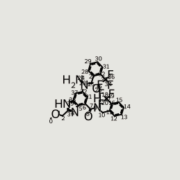 COCc1nc2c(C(=O)NCc3ccccc3C(F)(F)F)cc(N(N)C(=O)c3ccccc3C(F)(F)F)cc2[nH]1